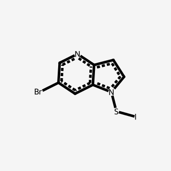 Brc1cnc2ccn(SI)c2c1